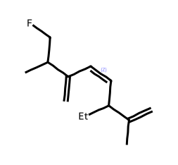 C=C(/C=C\C(CC)C(=C)C)C(C)CF